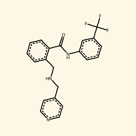 O=C(Nc1cccc(C(F)(F)F)c1)c1ccccc1CNCc1ccncc1